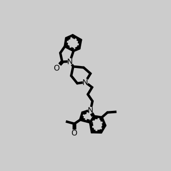 CCc1cccc2c(C(C)=O)cn(CCCN3CCC(N4C(=O)Cc5ccccc54)CC3)c12